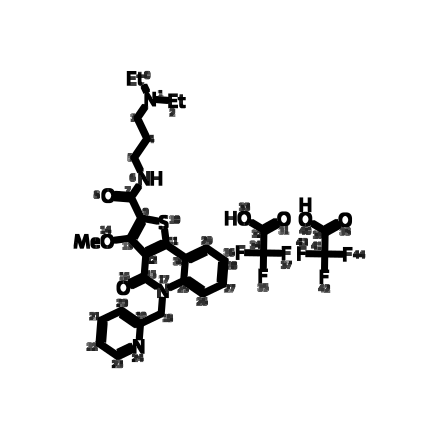 CCN(CC)CCCNC(=O)c1sc2c(c1OC)c(=O)n(Cc1ccccn1)c1ccccc21.O=C(O)C(F)(F)F.O=C(O)C(F)(F)F